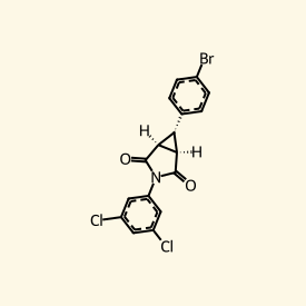 O=C1[C@@H]2[C@H](C(=O)N1c1cc(Cl)cc(Cl)c1)[C@H]2c1ccc(Br)cc1